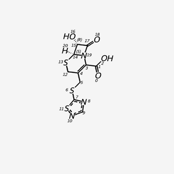 O=C(O)C1=C(CSc2ncns2)CS[C@H]2[C@H](O)C(=O)N12